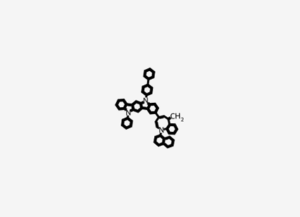 C=C1/C=C(c2ccc3c(c2)c2cc4c(cc2n3-c2ccc(-c3ccccc3)cc2)c2ccccc2n4-c2ccccc2)\C=C/N(c2cccc3ccccc23)c2ccccc21